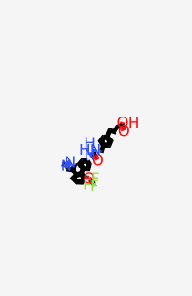 Cn1cc(-c2cccc(OC(F)(F)F)c2-c2ccc(NC(=O)NCc3ccc(CCCC(=O)O)cc3)cc2)cn1